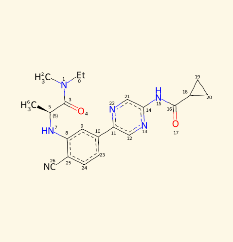 CCN(C)C(=O)[C@H](C)Nc1cc(-c2cnc(NC(=O)C3CC3)cn2)ccc1C#N